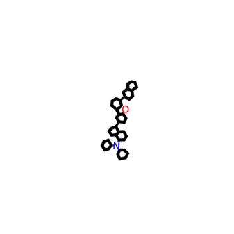 c1ccc(N(c2ccccc2)c2cccc3c(-c4ccc5oc6c(-c7ccc8ccccc8c7)cccc6c5c4)cccc23)cc1